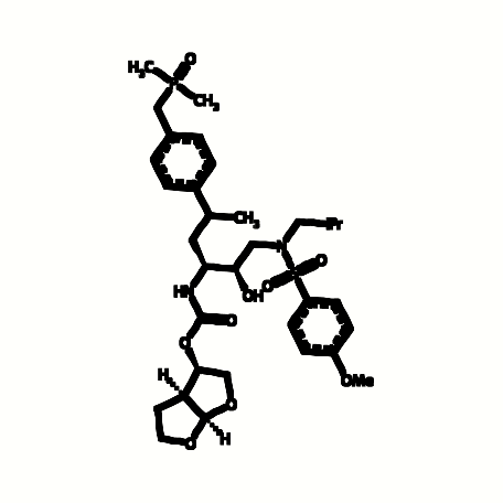 COc1ccc(S(=O)(=O)N(CC(C)C)C[C@@H](O)[C@H](CC(C)c2ccc(CP(C)(C)=O)cc2)NC(=O)O[C@H]2CO[C@H]3OCC[C@H]32)cc1